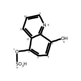 O=S(=O)(O)Oc1ccc(O)c2ncccc12